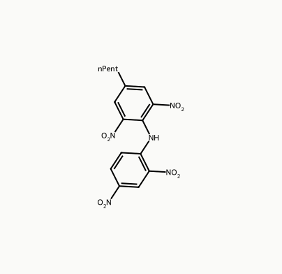 CCCCCc1cc([N+](=O)[O-])c(Nc2ccc([N+](=O)[O-])cc2[N+](=O)[O-])c([N+](=O)[O-])c1